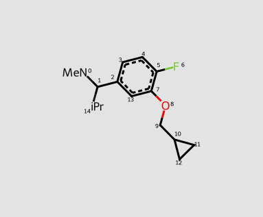 CNC(c1ccc(F)c(OCC2CC2)c1)C(C)C